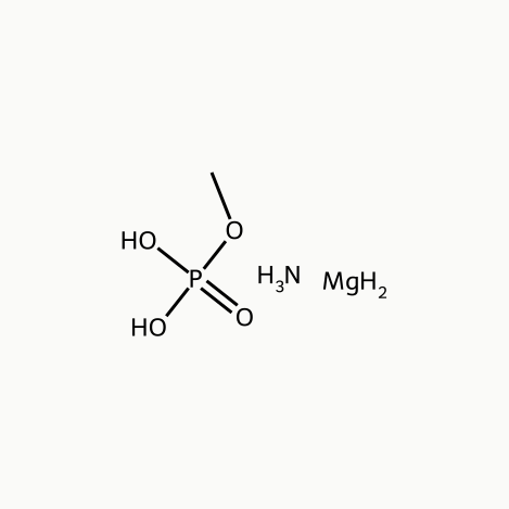 COP(=O)(O)O.N.[MgH2]